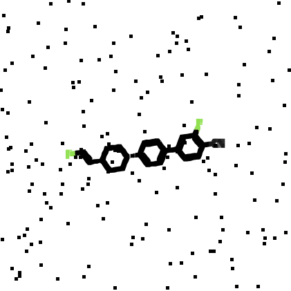 N#Cc1ccc(-c2ccc([C@H]3CC[C@H](C=CF)CC3)cc2)cc1F